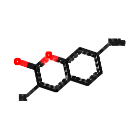 CCc1cc2ccc(NC)cc2oc1=O